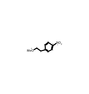 CO[CH]Cc1ccc([N+](=O)[O-])cc1